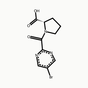 O=C(O)[C@@H]1CCCN1C(=O)c1ncc(Br)cn1